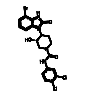 O=C(Nc1ccc(Cl)c(Cl)c1)N1CC[C@H](n2c(=O)[nH]c3c(Br)cccc32)[C@@H](O)C1